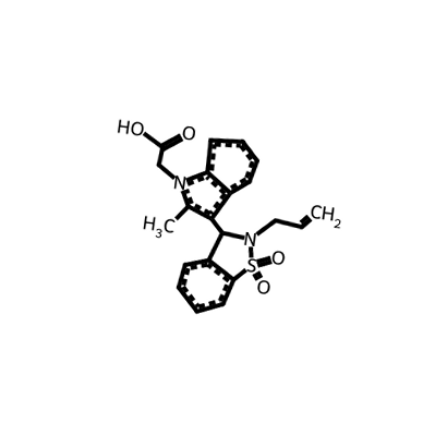 C=CCN1C(c2c(C)n(CC(=O)O)c3ccccc23)c2ccccc2S1(=O)=O